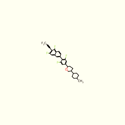 CC1CCC(C2CCC(c3cc(F)c(-c4ccc5c(F)c(C#CC(F)(F)F)c(F)cc5c4)c(F)c3)OC2)CC1